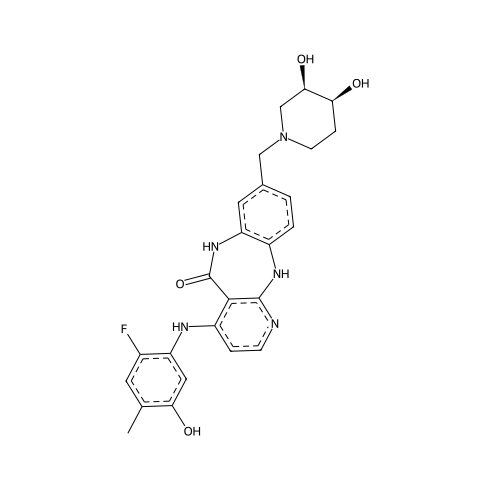 Cc1cc(F)c(Nc2ccnc3c2C(=O)Nc2cc(CN4CC[C@H](O)[C@H](O)C4)ccc2N3)cc1O